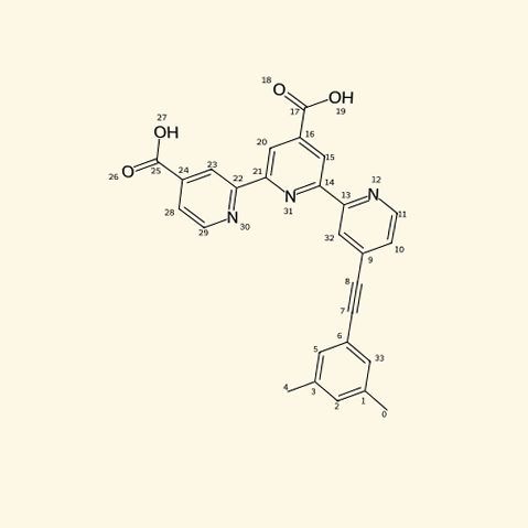 Cc1cc(C)cc(C#Cc2ccnc(-c3cc(C(=O)O)cc(-c4cc(C(=O)O)ccn4)n3)c2)c1